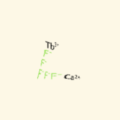 [Ca+2].[F-].[F-].[F-].[F-].[F-].[Tb+3]